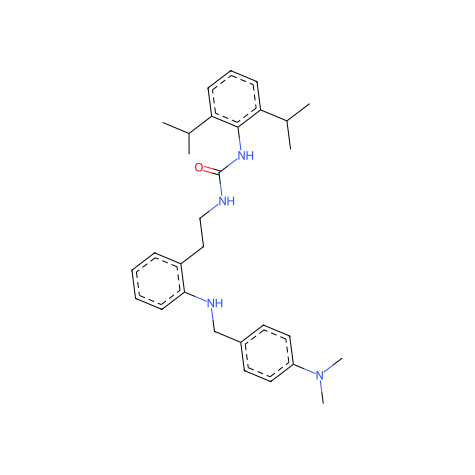 CC(C)c1cccc(C(C)C)c1NC(=O)NCCc1ccccc1NCc1ccc(N(C)C)cc1